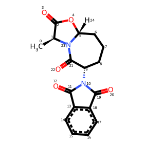 C[C@H]1C(=O)O[C@@H]2CCC[C@H](N3C(=O)c4ccccc4C3=O)C(=O)N21